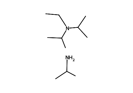 CC(C)N.CCN(C(C)C)C(C)C